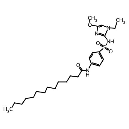 CCCCCCCCCCCCCC(=O)Nc1ccc(S(=O)(=O)Nc2nc(OC)cn2CC)cc1